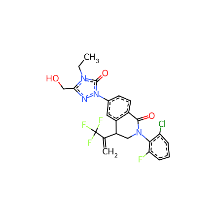 C=C(C1CN(c2c(F)cccc2Cl)C(=O)c2ccc(-n3nc(CO)n(CC)c3=O)cc21)C(F)(F)F